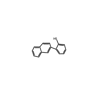 Sc1ccccc1-c1ccc2ccccc2c1